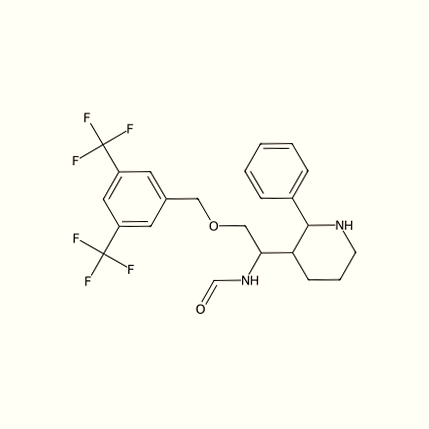 O=CNC(COCc1cc(C(F)(F)F)cc(C(F)(F)F)c1)C1CCCNC1c1ccccc1